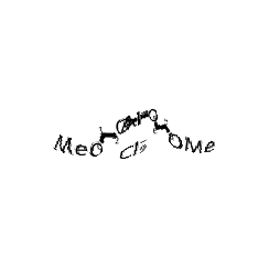 COCC[O][Al+][O]CCOC.[Cl-]